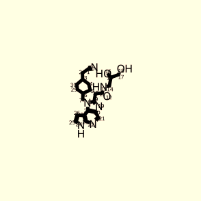 N#CCC1CCC(Cn2c(CC(=O)NCC(O)CO)nc3cnc4[nH]ccc4c32)CC1